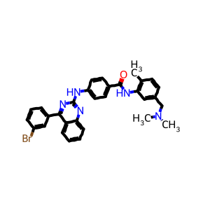 Cc1ccc(CN(C)C)cc1NC(=O)c1ccc(Nc2nc(-c3cccc(Br)c3)c3ccccc3n2)cc1